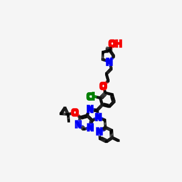 Cc1ccnc(Cn2c(-c3cccc(OCCCN4CC[C@@H](O)C4)c3Cl)nc3c(OC4(C)CC4)ncnc32)c1